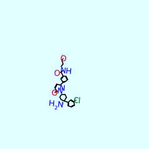 COCCCNC(=O)c1cccc(-c2ccc(=O)n([C@H]3CC[C@](CN)(c4cccc(Cl)c4)CC3)n2)c1